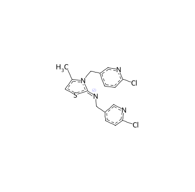 Cc1cs/c(=N\Cc2ccc(Cl)nc2)n1Cc1ccc(Cl)nc1